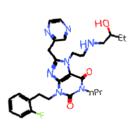 CCCn1c(=O)c2c(nc(Cc3cnccn3)n2CCNCC(O)CC)n(CCc2ccccc2F)c1=O